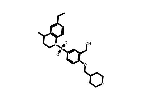 CCc1ccc2c(c1)C(C)CCN2S(=O)(=O)c1ccc(OCC2CCOCC2)c(CO)c1